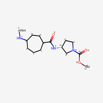 CCCCCCNC1CCCC(C(=O)N[C@@H]2CCN(C(=O)OC(C)(C)C)C2)CC1